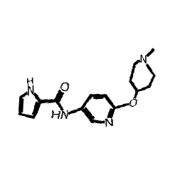 CN1CCC(Oc2ccc(NC(=O)c3ccc[nH]3)cn2)CC1